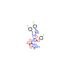 CN[C@@H](C)C(=O)N[C@H](C(=O)N1C[C@@H](Oc2ccc(F)cc2)C[C@H]1CN(CCc1ccc(F)cc1)C(=O)c1cn(-c2ccc(F)cc2)cn1)[C@@H](C)OC